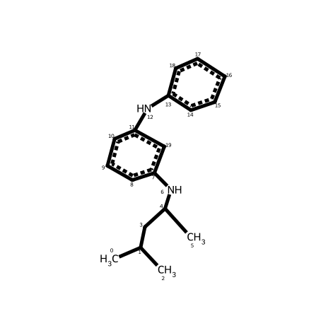 CC(C)CC(C)Nc1cccc(Nc2ccccc2)c1